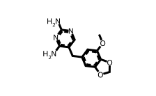 COc1cc(Cc2cnc(N)nc2N)cc2c1OCO2